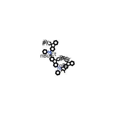 CCCCC(CC)(c1ccc2c(c1)C(CC(C)C)(CC(C)C)c1cc(N(c3ccccc3)C(CCCC)(C(C)=C(C)C)c3ccc4c(c3)C(CC(C)C)(CC(C)C)c3ccccc3-4)ccc1-2)N(c1ccccc1)c1ccc2c(c1)C(CC(C)C)(CC(C)C)c1ccccc1-2